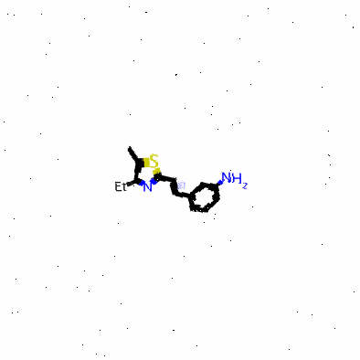 CCc1nc(/C=C/c2cccc(N)c2)sc1C